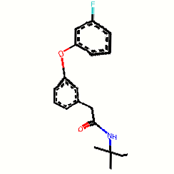 CC(C)(C)NC(=O)Cc1cccc(Oc2cccc(F)c2)c1